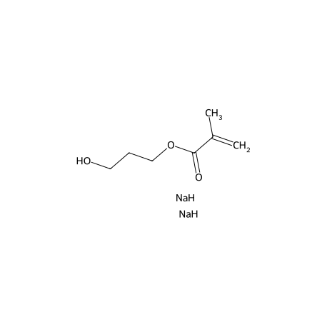 C=C(C)C(=O)OCCCO.[NaH].[NaH]